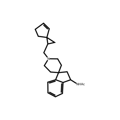 CC(=O)NC1CC2(CCN(CC3CC34C=CCC4)CC2)c2ccccc21